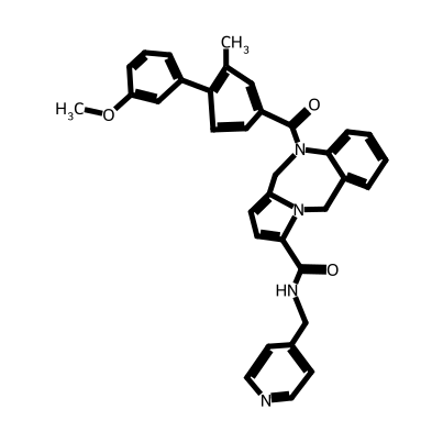 COc1cccc(-c2ccc(C(=O)N3Cc4ccc(C(=O)NCc5ccncc5)n4Cc4ccccc43)cc2C)c1